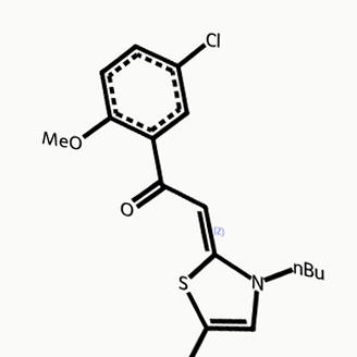 CCCCN1C=C(C)S/C1=C\C(=O)c1cc(Cl)ccc1OC